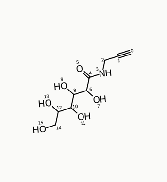 C#CCNC(=O)C(O)C(O)C(O)C(O)CO